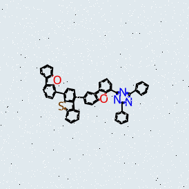 c1ccc(-c2nc(-c3ccccc3)nc(-c3cccc4c3oc3ccc(-c5ccc(-c6cccc7c6oc6ccccc67)c6sc7ccccc7c56)cc34)n2)cc1